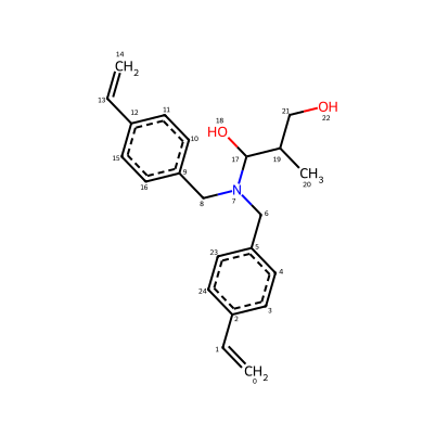 C=Cc1ccc(CN(Cc2ccc(C=C)cc2)C(O)C(C)CO)cc1